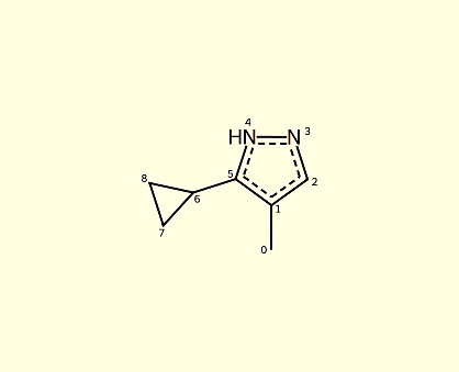 Cc1cn[nH]c1C1CC1